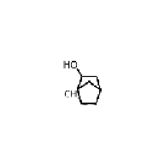 C.OC1CC2CCC1C2